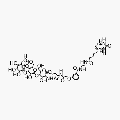 CC(=O)NC1C(O)[C@H](O[C@@H]2OC(CO)[C@H](O)C(O[C@H]3OC(CO)[C@H](O)C(O)C3O)C2O)C(CO)O[C@H]1OCCCNC(=O)COc1cccc(C(=O)NCCNC(=O)CCCC[C@@H]2SC[C@@H]3NC(=O)N[C@@H]32)c1